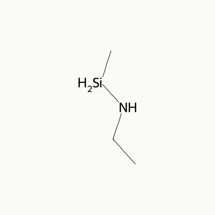 CCN[SiH2]C